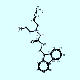 C=C=CCP(CCN)NC(=O)OCC1c2ccccc2-c2ccccc21